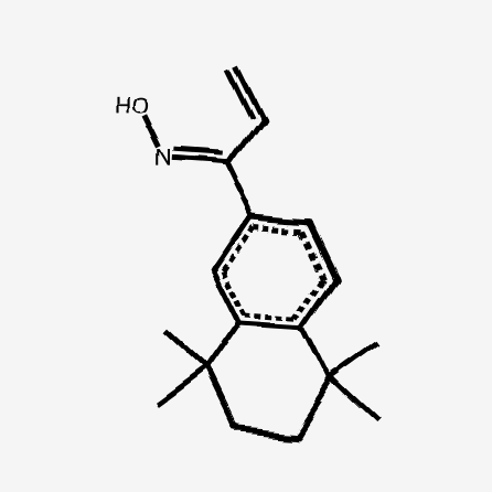 C=CC(=NO)c1ccc2c(c1)C(C)(C)CCC2(C)C